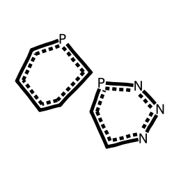 c1ccpcc1.c1cpnnn1